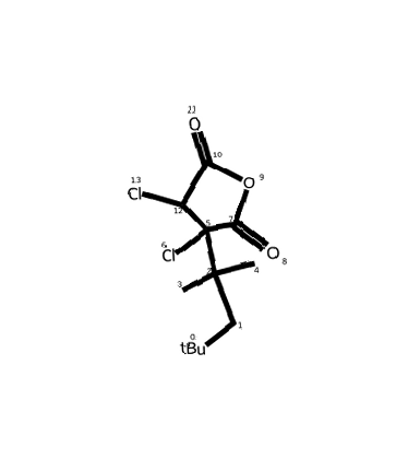 CC(C)(C)CC(C)(C)C1(Cl)C(=O)OC(=O)C1Cl